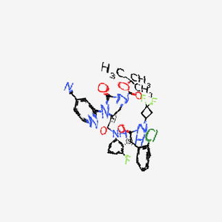 CC(C)(C)OC(=O)N1C[C@@H](C(=O)Nc2cccc(F)c2[C@H](C(=O)NC2CC(F)(F)C2)c2ccccc2Cl)N(c2cc(C#N)ccn2)C1=O